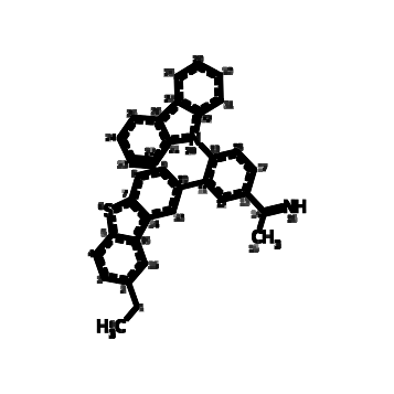 CCc1ccc2sc3ccc(-c4cc(C(C)=N)ccc4-n4c5c#cccc5c5ccccc54)cc3c2c1